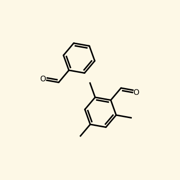 Cc1cc(C)c(C=O)c(C)c1.O=Cc1ccccc1